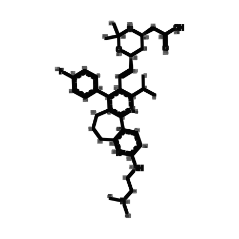 CC(C)c1nc2c(c(-c3ccc(F)cc3)c1/C=C/[C@@H]1C[C@H](CC(=O)O)OC(C)(C)O1)CCCc1nc(NCCN(C)C)ccc1-2